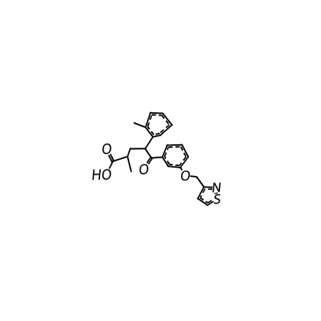 Cc1ccccc1C(CC(C)C(=O)O)C(=O)c1cccc(OCc2ccsn2)c1